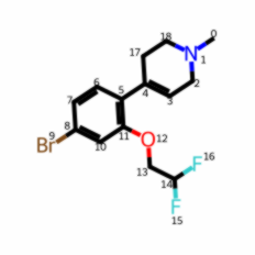 CN1CC=C(c2ccc(Br)cc2OCC(F)F)CC1